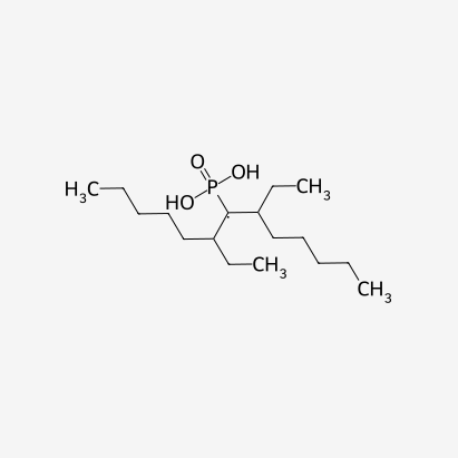 CCCCCC(CC)[C](C(CC)CCCCC)P(=O)(O)O